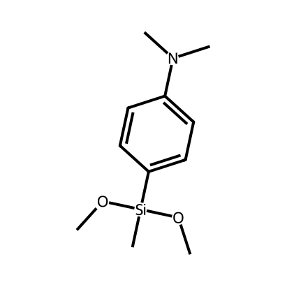 CO[Si](C)(OC)c1ccc(N(C)C)cc1